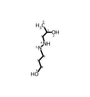 CC(O)CN[N]CCCO